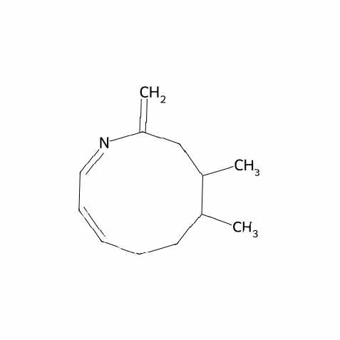 C=C1CC(C)C(C)CC/C=C\C=N/1